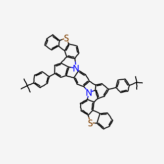 CC(C)(C)c1ccc(-c2cc3c4cc5c(cc4n4c6ccc7sc8ccccc8c7c6c(c2)c34)c2cc(-c3ccc(C(C)(C)C)cc3)cc3c4c6c(ccc4n5c23)sc2ccccc26)cc1